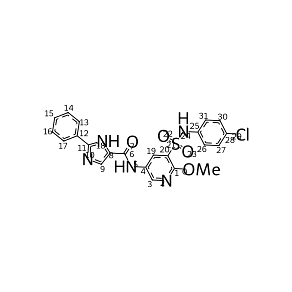 COc1ncc(NC(=O)c2cnc(-c3ccccc3)[nH]2)cc1S(=O)(=O)Nc1ccc(Cl)cc1